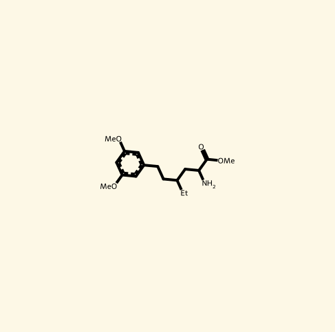 CCC(CCc1cc(OC)cc(OC)c1)CC(N)C(=O)OC